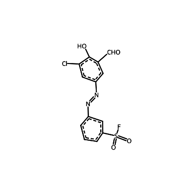 O=Cc1cc(/N=N/c2cccc(S(=O)(=O)F)c2)cc(Cl)c1O